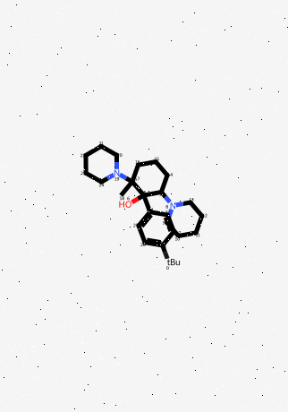 CC(C)(C)c1ccc(C2(O)C(N3CCCCC3)CCCC2(C)N2CCCCC2)cc1